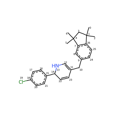 CC1(C)CC(C)(C)c2cc(CC3=CNC(c4ccc(Cl)cc4)C=C3)ccc21